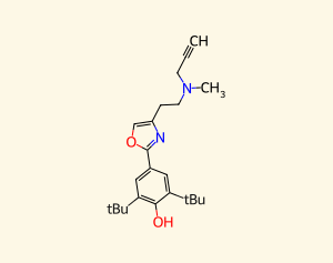 C#CCN(C)CCc1coc(-c2cc(C(C)(C)C)c(O)c(C(C)(C)C)c2)n1